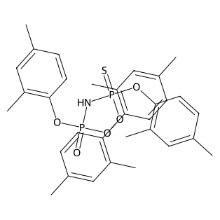 Cc1ccc(OP(=O)(NP(=S)(Oc2ccc(C)cc2C)Oc2ccc(C)cc2C)Oc2ccc(C)cc2C)c(C)c1